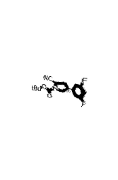 CC(C)(C)OC(=O)N1C[C@@H](c2cc(F)cc(F)c2)C[C@@H]1C#N